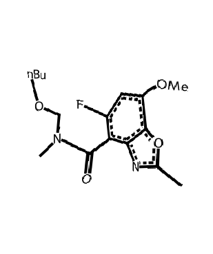 CCCCOCN(C)C(=O)c1c(F)cc(OC)c2oc(C)nc12